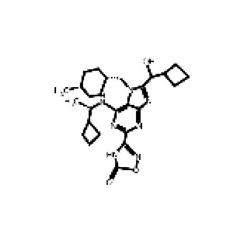 C[C@@H](Nc1nc(-c2noc(=O)[nH]2)nc2nc(C(O)C3CCC3)n(C[C@H]3CC[C@H](C)CC3)c12)C1CCC1